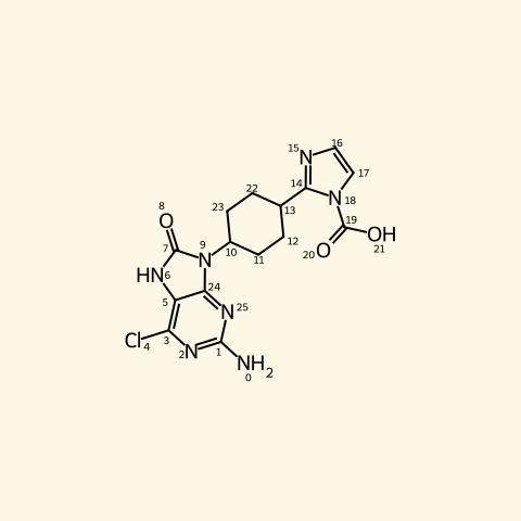 Nc1nc(Cl)c2[nH]c(=O)n(C3CCC(c4nccn4C(=O)O)CC3)c2n1